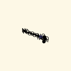 [N-]=[N+]=NCCOCCOCCOCCOCCOCCN(N)/C=C(\N)COc1c(O)ccc2c(=O)cc(-c3ccccc3)oc12